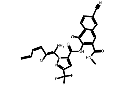 C=C/C=C\C(Cl)=C(/N)n1nc(C(F)(F)F)cc1C(=O)Nc1c(C(=O)NC)cc2cc(C#N)ccc2c1Cl